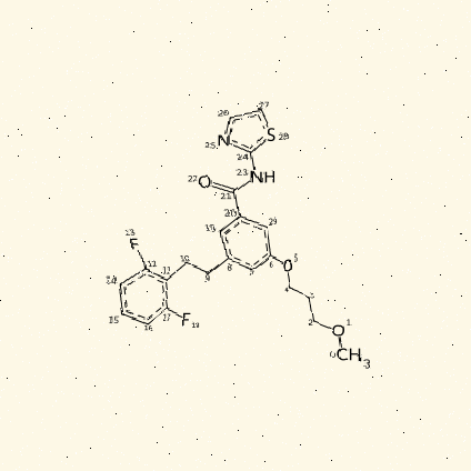 COCCCOc1cc(CCc2c(F)cccc2F)cc(C(=O)Nc2nccs2)c1